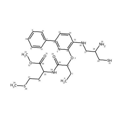 CCC(Oc1nc(-c2ccccc2)ccc1NCC(N)CS)C(=O)NC(CCSC)C(=O)OC